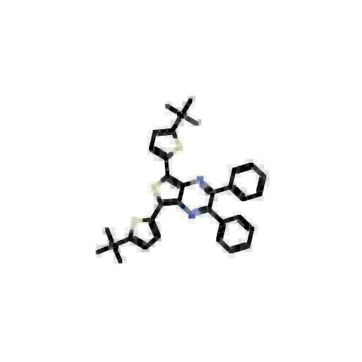 [CH3][Sn]([CH3])([CH3])[c]1ccc(-c2sc(-c3cc[c]([Sn]([CH3])([CH3])[CH3])s3)c3nc(-c4ccccc4)c(-c4ccccc4)nc23)s1